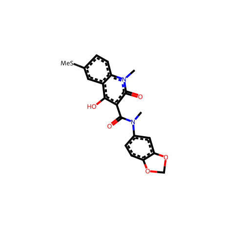 CSc1ccc2c(c1)c(O)c(C(=O)N(C)c1ccc3c(c1)OCO3)c(=O)n2C